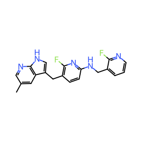 Cc1cnc2[nH]cc(Cc3ccc(NCc4cccnc4F)nc3F)c2c1